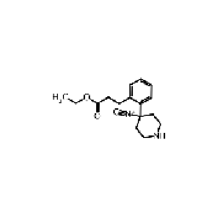 [C-]#[N+]C1(c2ccccc2CCC(=O)OCC)CCNCC1